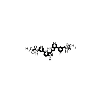 CC(C)C(=O)Nc1cncc(-c2ccc3[nH]nc(-c4cc5c(-c6cc(F)cc(CNS(C)(=O)=O)c6)cncc5[nH]4)c3n2)c1